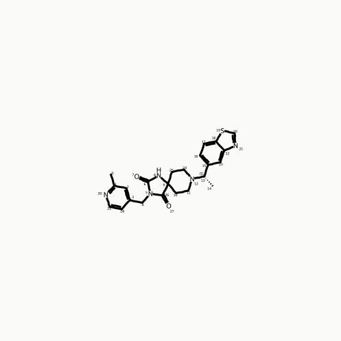 Cc1cc(CN2C(=O)NC3(CCN([C@@H](C)c4ccc5scnc5c4)CC3)C2=O)ccn1